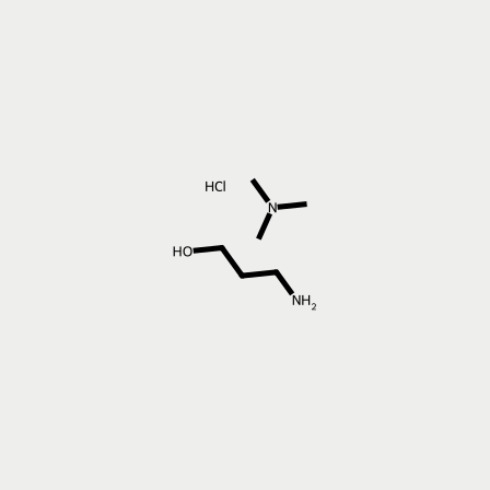 CN(C)C.Cl.NCCCO